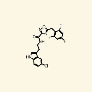 O=C(NCCc1c[nH]c2ccc(Cl)cc12)c1noc(Cc2c(F)cc(F)cc2F)n1